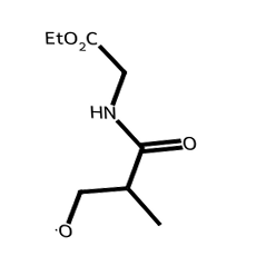 CCOC(=O)CNC(=O)C(C)C[O]